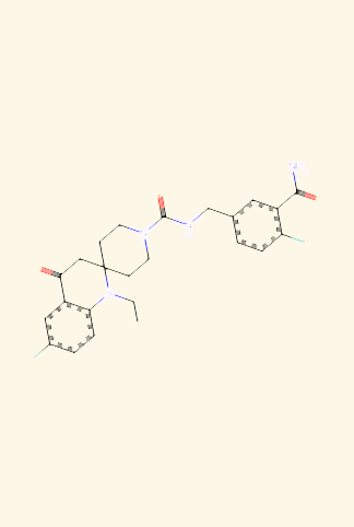 CCN1c2ccc(F)cc2C(=O)CC12CCN(C(=O)NCc1ccc(F)c(C(N)=O)c1)CC2